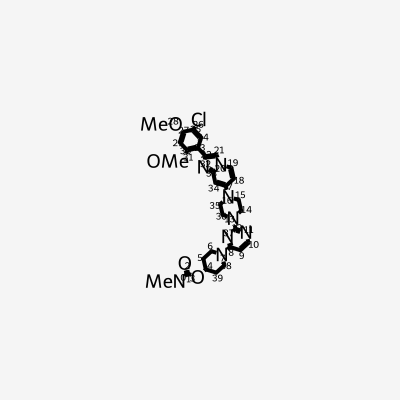 CNC(=O)OC1CCN(c2ccnc(N3CCN(c4ccn5cc(-c6cc(Cl)c(OC)cc6OC)nc5c4)CC3)n2)CC1